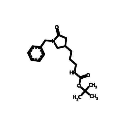 CC(C)(C)OC(=O)NCCCC1CC(=O)N(Cc2ccccc2)C1